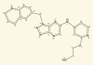 OCCOc1cc(Nc2cnc3nnn(Cc4ccc5ncccc5c4)c3n2)ccn1